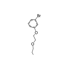 CCCOCCOc1cccc(Br)c1